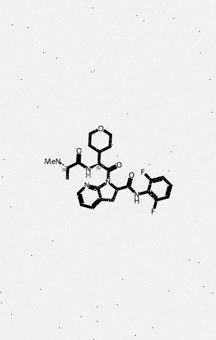 CN[C@@H](C)C(=O)N[C@H](C(=O)N1c2ncccc2CC1C(=O)Nc1c(F)cccc1F)C1CCOCC1